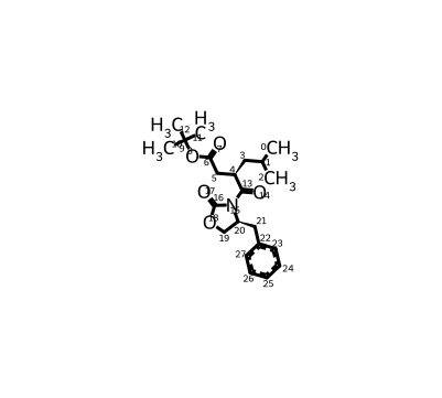 CC(C)C[C@H](CC(=O)OC(C)(C)C)C(=O)N1C(=O)OC[C@@H]1Cc1ccccc1